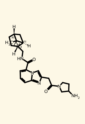 CC1(C)[C@@H]2CC[C@@H](CNC(=O)c3cccc4nc(CC(=O)N5CCC(N)C5)cn34)[C@@H]1C2